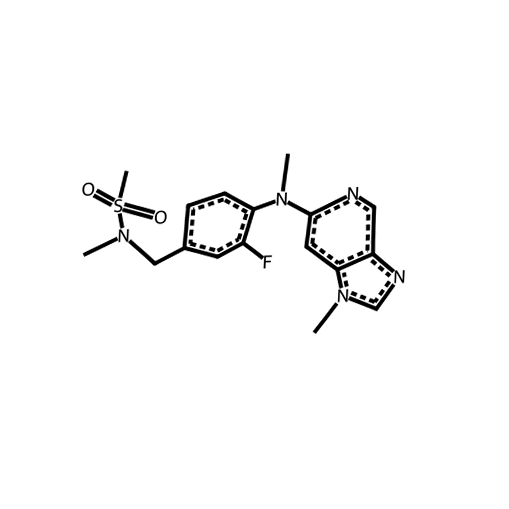 CN(c1cc2c(cn1)ncn2C)c1ccc(CN(C)S(C)(=O)=O)cc1F